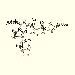 CNc1cc(Nc2cccn(C3CC(OC)C3)c2=O)nc2c(C(O)NC3CC[C@@H]3F)cnn12